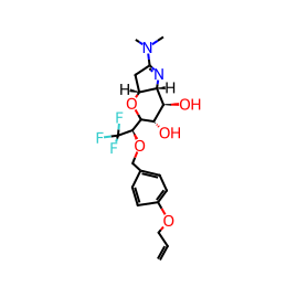 C=CCOc1ccc(CO[C@H](C2O[C@@H]3CC(N(C)C)=N[C@@H]3[C@@H](O)[C@@H]2O)C(F)(F)F)cc1